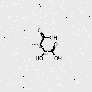 C[C@H](C(=O)O)[C@H](O)C(=O)O